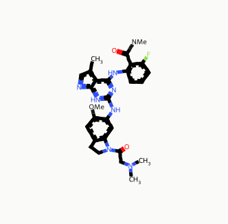 CNC(=O)c1c(F)cccc1Nc1nc(Nc2cc3c(cc2OC)CCN3C(=O)CN(C)C)[nH]c2ncc(C)c1-2